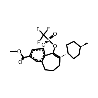 COC(=O)c1ccc2c(c1)CCCC([C@H]1CC[C@H](C)CC1)=C2OS(=O)(=O)C(F)(F)F